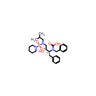 CC(C)CN(C[C@@H](O)[C@H](Cc1ccccc1)N(Cc1ccccc1)C(=O)O)S(=O)(=O)N1CCCCC1